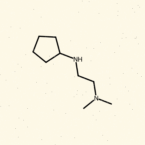 CN(C)CCNC1CCCC1